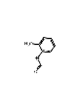 Cc1ccccc1[N]C=O